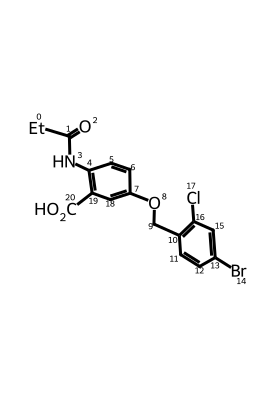 CCC(=O)Nc1ccc(OCc2ccc(Br)cc2Cl)cc1C(=O)O